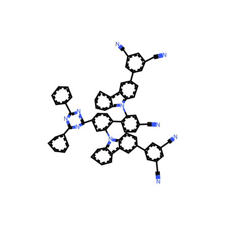 N#Cc1cc(C#N)cc(-c2ccc3c(c2)c2ccccc2n3-c2cc(C#N)ccc2-c2ccc(-c3nc(-c4ccccc4)nc(-c4ccccc4)n3)cc2-n2c3ccccc3c3cc(-c4cc(C#N)cc(C#N)c4)ccc32)c1